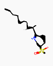 CCCCCCC=C(C)c1ccc(S(C)(=O)=O)cn1